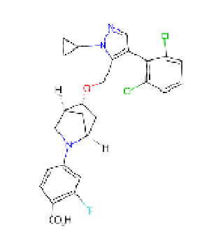 O=C(O)c1ccc(N2C[C@@H]3C[C@H]2C[C@H]3OCc2c(-c3c(Cl)cccc3Cl)cnn2C2CC2)cc1F